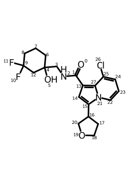 O=C(NCC1(O)CCCC(F)(F)C1)c1cc(C2CCOC2)n2cccc(Cl)c12